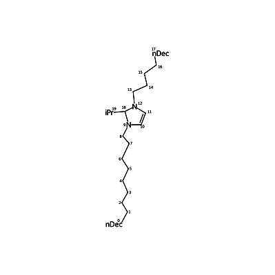 CCCCCCCCCCCCCCCCCCN1C=CN(CCCCCCCCCCCCCC)C1C(C)C